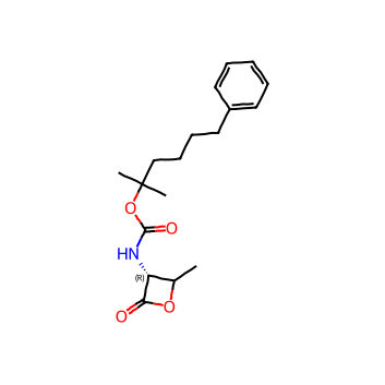 CC1OC(=O)[C@@H]1NC(=O)OC(C)(C)CCCCc1ccccc1